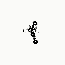 C=C1C(/C(Cl)=C/c2ccccc2)=C(N)O[C@H](C)CN1c1ccc(OCc2ccccc2)cc1